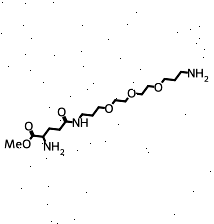 COC(=O)C(N)CCC(=O)NCCCOCCOCCOCCCN